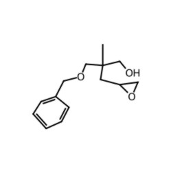 CC(CO)(COCc1ccccc1)CC1CO1